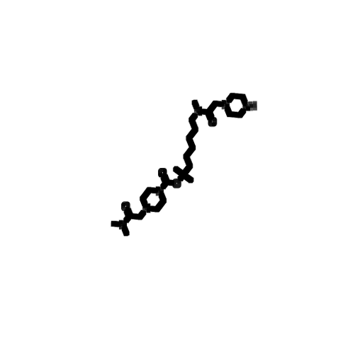 CN(C)C(=O)CN1CCN(C(=O)OC(C)(C)CCCCCCN(C)C(=O)CN2CCNCC2)CC1